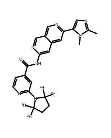 [2H]C1([2H])CCC([2H])([2H])N1c1cc(C(=O)Nc2cc3cc(-c4cnc(C)n4C)ncc3cn2)ccn1